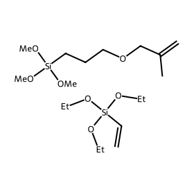 C=C(C)COCCC[Si](OC)(OC)OC.C=C[Si](OCC)(OCC)OCC